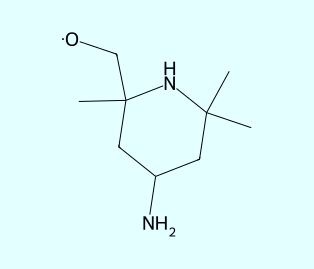 CC1(C)CC(N)CC(C)(C[O])N1